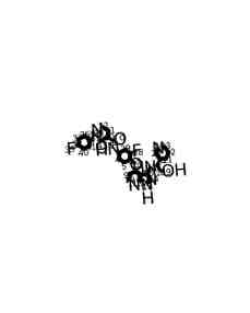 O=C(Nc1ccc(Oc2ccnc3[nH]nc(NC(CO)c4cccnc4)c23)c(F)c1)c1ccnn(-c2ccc(F)cc2)c1=O